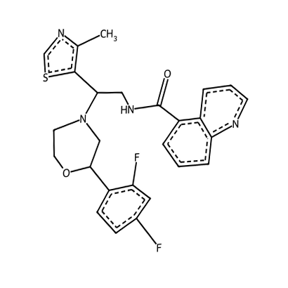 Cc1ncsc1C(CNC(=O)c1cccc2ncccc12)N1CCOC(c2ccc(F)cc2F)C1